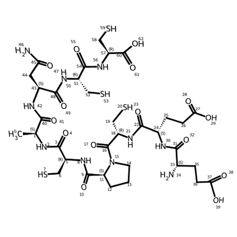 C[C@H](NC(=O)[C@H](CS)NC(=O)[C@@H]1CCCN1C(=O)[C@H](CS)NC(=O)[C@H](CCC(=O)O)NC(=O)[C@@H](N)CCC(=O)O)C(=O)N[C@@H](CC(N)=O)C(=O)N[C@@H](CS)C(=O)N[C@@H](CS)C(=O)O